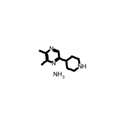 Cc1ncc(C2CCNCC2)nc1C.N